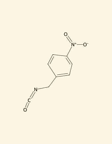 O=C=NCc1ccc([N+](=O)[O-])cc1